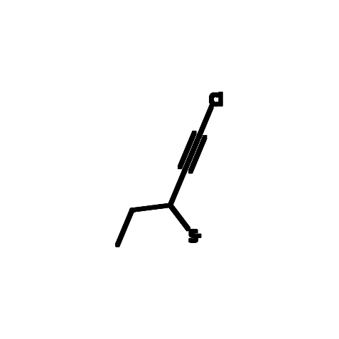 CCC([S])C#CCl